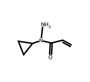 C=CC(=O)N(N)C1CC1